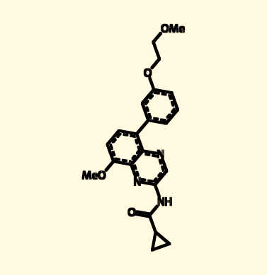 COCCOc1cccc(-c2ccc(OC)c3nc(NC(=O)C4CC4)cnc23)c1